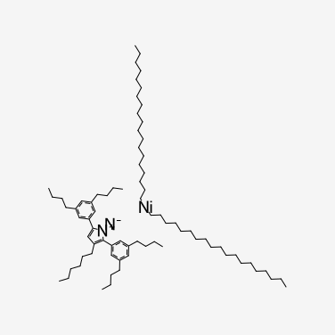 CCCCCCC1=C(c2cc(CCCC)cc(CCCC)c2)[N+](=[N-])C(c2cc(CCCC)cc(CCCC)c2)=C1.CCCCCCCCCCCCCCCCCC[CH2][Ni][CH2]CCCCCCCCCCCCCCCCCC